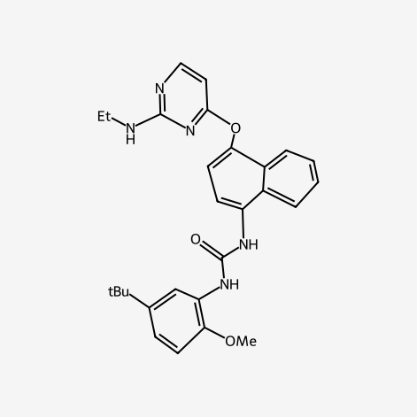 CCNc1nccc(Oc2ccc(NC(=O)Nc3cc(C(C)(C)C)ccc3OC)c3ccccc23)n1